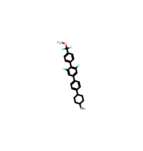 CCCCC1CCC(c2ccc(-c3cc(F)c(-c4ccc(C(F)(F)OC(F)(F)F)cc4)c(F)c3)cc2)CC1